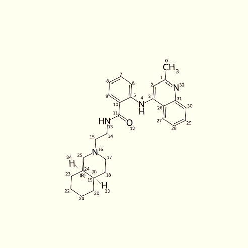 Cc1cc(Nc2ccccc2C(=O)NCCN2CC[C@H]3CCCC[C@H]3C2)c2ccccc2n1